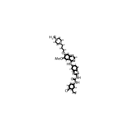 COc1cc2c(Nc3ccc4sc(NC(=O)Nc5ccc(Cl)c(CF)c5)nc4c3)ncnc2cc1OCCCN1CCN(C)CC1